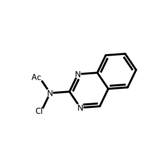 CC(=O)N(Cl)c1ncc2ccccc2n1